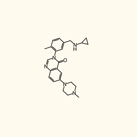 Cc1ccc(CNC2CC2)cc1-n1cnc2ccc(N3CCN(C)CC3)cc2c1=O